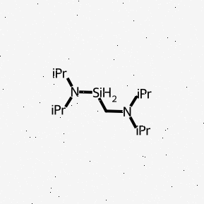 CC(C)N(C[SiH2]N(C(C)C)C(C)C)C(C)C